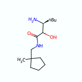 CCCC[C@H](N)C(O)C(=O)NCC1(C)CCCC1